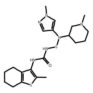 Cc1sc2c(c1NC(=O)NSN(c1cnn(C)c1)C1CCCN(C)C1)CCCC2